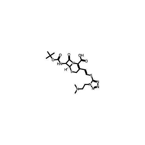 CN(C)CCn1nnnc1SC=CC1=C(C(=O)O)N2C(=O)C(NC(=O)OC(C)(C)C)[C@@H]2SC1